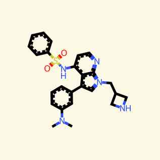 CN(C)c1cccc(-c2cn(CC3CNC3)c3nccc(NS(=O)(=O)c4ccccc4)c23)c1